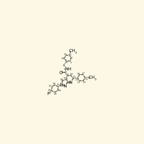 Cc1ccc(CNC(=O)c2cc(-c3ccc(C)cc3)nc3nn(-c4ccc(F)cc4)cc23)cc1